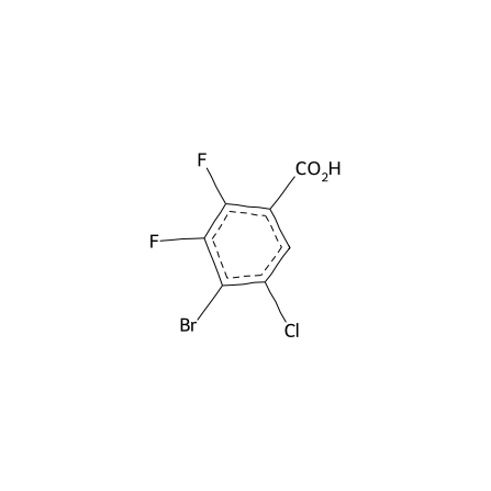 O=C(O)c1cc(Cl)c(Br)c(F)c1F